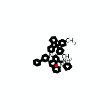 Cc1ccc(C2(c3ccc(C)cc3)c3ccccc3-c3ccc(N(c4ccc(-c5ccccc5)cc4)c4ccc(C5Nc6ccccc6N5c5ccccc5)c5ccccc45)cc32)cc1